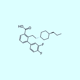 CCC[C@H]1CC[C@H](CCc2c(C(=O)O)cccc2-c2ccc(F)c(F)c2)CC1